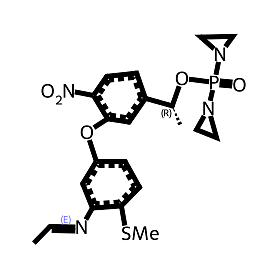 C/C=N/c1cc(Oc2cc([C@@H](C)OP(=O)(N3CC3)N3CC3)ccc2[N+](=O)[O-])ccc1SC